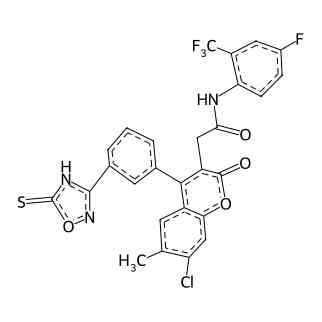 Cc1cc2c(-c3cccc(-c4noc(=S)[nH]4)c3)c(CC(=O)Nc3ccc(F)cc3C(F)(F)F)c(=O)oc2cc1Cl